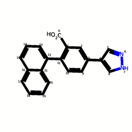 O=C(O)c1cc(-c2cn[nH]c2)ccc1-c1cccc2ccccc12